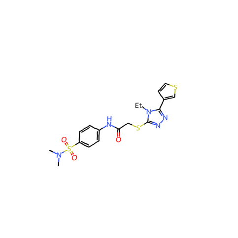 CCn1c(SCC(=O)Nc2ccc(S(=O)(=O)N(C)C)cc2)nnc1-c1ccsc1